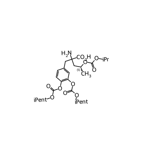 CCCC(C)OC(=O)Oc1ccc(CC(N)(C[C@H](C)OC(=O)OC(C)C)C(=O)O)cc1OC(=O)OC(C)CCC